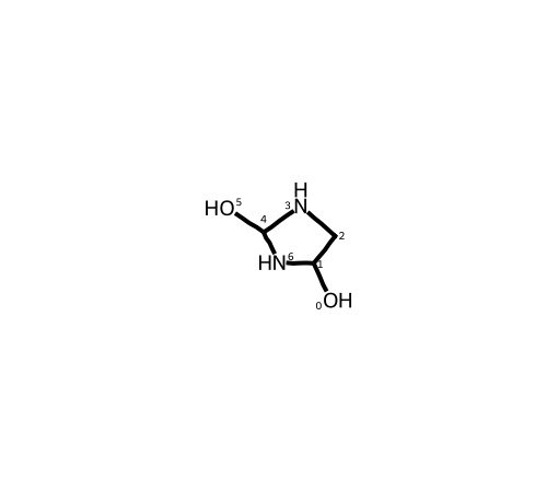 OC1CNC(O)N1